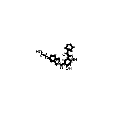 O=C(c1n[nH]c2cc(O)c(C(=O)N3Cc4ccc(OCCO)cc4C3)cc12)C1CCCCC1